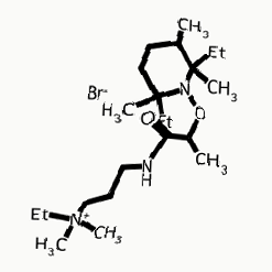 CCC1(C)CCC(C)C(C)(CC)N1OC(C)C(=O)NCCC[N+](C)(C)CC.[Br-]